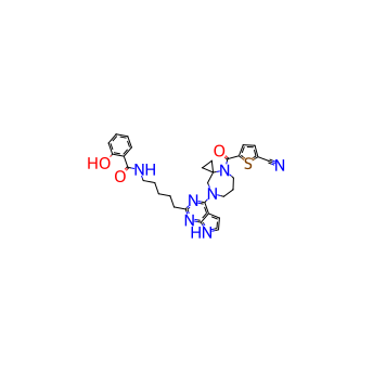 N#Cc1ccc(C(=O)N2CCCN(c3nc(CCCCCNC(=O)c4ccccc4O)nc4[nH]ccc34)CC23CC3)s1